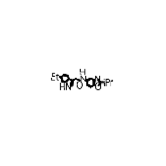 CCc1ccc2c(CC(=O)Nc3ccc4oc(C(C)C)nc4c3)c[nH]c2c1